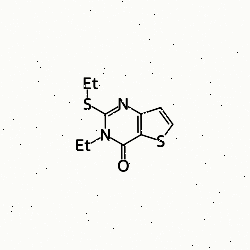 CCSc1nc2ccsc2c(=O)n1CC